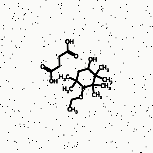 CCON1C(C)(C)CC(O)C(C)(C)C1(C)C.O=C(O)CCC(=O)O